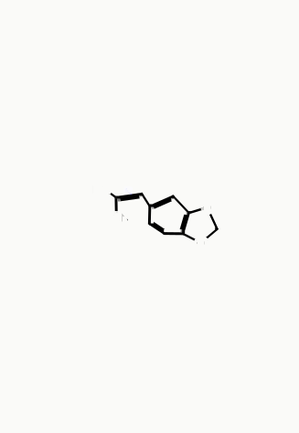 N#C/C(C=O)=C\c1ccc2c(c1)OCO2